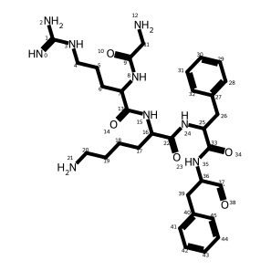 N=C(N)NCCCC(NC(=O)CN)C(=O)NC(CCCCN)C(=O)NC(Cc1ccccc1)C(=O)NC([C]=O)Cc1ccccc1